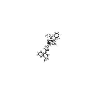 CC12CC(C)(C(=O)Nc3nc(-c4ccc(F)c5ccccc45)cs3)C(c3ccccc31)n1ccnc12